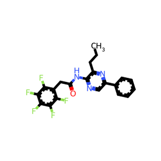 CCCc1nc(-c2ccccc2)cnc1NC(=O)Cc1c(F)c(F)c(F)c(F)c1F